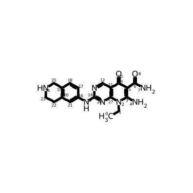 CCn1c(N)c(C(N)=O)c(=O)c2cnc(Nc3ccc4c(c3)CCNC4)nc21